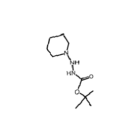 CC(C)(C)OC(=O)NNN1CCCCC1